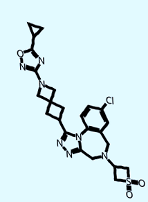 O=S1(=O)CC(N2Cc3cc(Cl)ccc3-n3c(nnc3C3CC4(C3)CN(c3noc(C5CC5)n3)C4)C2)C1